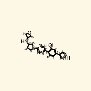 Oc1cc(-c2cn[nH]c2)ccc1-c1cnc(N2CCC(NC3COC3)C2)nn1